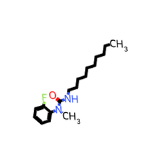 CCCCCCCCCCNC(=O)N(C)c1ccccc1F